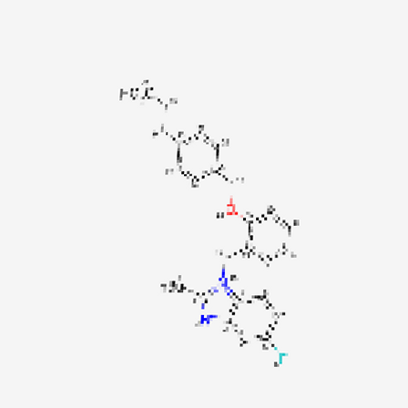 CCCCc1nc2cc(F)ccc2n1Cc1ccccc1OCc1ccc(CCC(=O)O)cc1